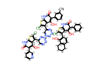 N#Cc1cccc(-c2c(O)c3c(-c4cnnnn4)c(Cl)sc3[nH]c2=O)c1.O=c1[nH]c2sc(Cl)c(-c3ccc4c(c3O)CCCC4)c2c(O)c1-c1ccccc1.O=c1[nH]c2sc(Cl)c(-c3cnnnn3)c2c(O)c1-c1cccnc1